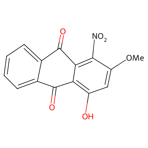 COc1cc(O)c2c(c1[N+](=O)[O-])C(=O)c1ccccc1C2=O